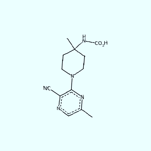 Cc1cnc(C#N)c(N2CCC(C)(NC(=O)O)CC2)n1